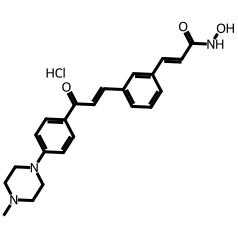 CN1CCN(c2ccc(C(=O)C=Cc3cccc(C=CC(=O)NO)c3)cc2)CC1.Cl